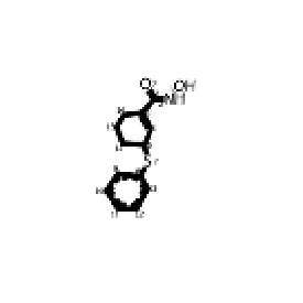 O=C(NO)C1=CC(Sc2ccccc2)CCC1